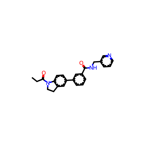 CCC(=O)N1CCc2cc(-c3cccc(C(=O)NCc4cccnc4)c3)ccc21